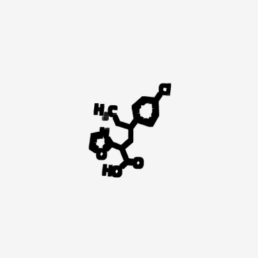 CCC(CC(C(=O)O)c1ncco1)c1ccc(Cl)cc1